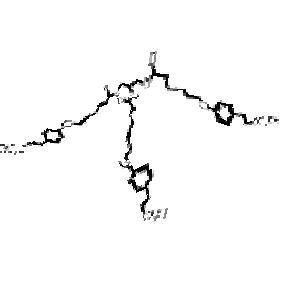 CCOC(=O)C=Cc1ccc(OCCCCCC(=O)OCC(COC(=O)CCCCCOc2ccc(C=CC(=O)OCC)cc2)OC(=O)CCCCCOc2ccc(C=CC(=O)OCC)cc2)cc1